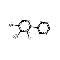 O=[N+]([O-])c1ccc(-c2ccccc2)c(O)c1[N+](=O)[O-]